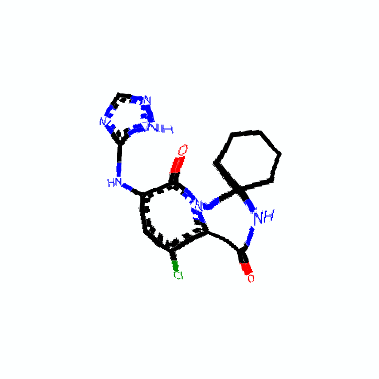 O=C1NC2(CCCCC2)n2c1c(Cl)cc(Nc1ncn[nH]1)c2=O